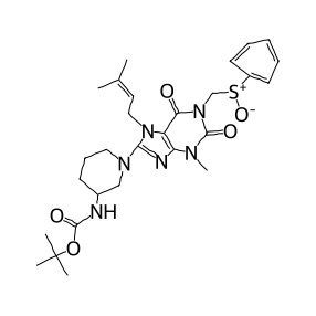 CC(C)=CCn1c(N2CCCC(NC(=O)OC(C)(C)C)C2)nc2c1c(=O)n(C[S+]([O-])c1ccccc1)c(=O)n2C